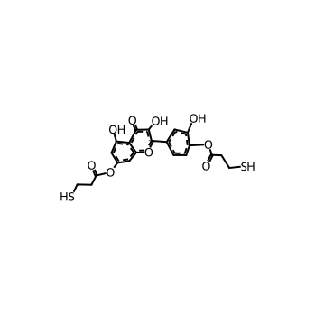 O=C(CCS)Oc1cc(O)c2c(=O)c(O)c(-c3ccc(OC(=O)CCS)c(O)c3)oc2c1